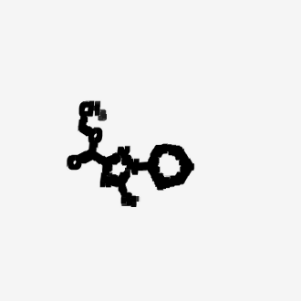 CCOC(=O)c1nc(Br)n(-c2ccccc2)n1